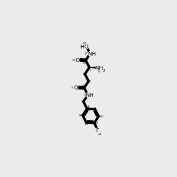 N[C@@H](CCC(=O)NCc1ccc(F)cc1)C(=O)NO